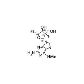 CC[C@H]1O[C@@H](n2cnc3c(NC)nc(N)nc32)[C@@](F)(CO)[C@@H]1O